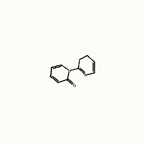 O=c1ccccn1C1=NC=CCC1